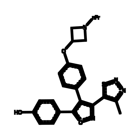 CCCN1CC(Oc2ccc(-c3c(-c4snnc4C)noc3-c3ccc(O)cc3)cc2)C1